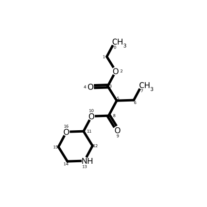 CCOC(=O)C(CC)C(=O)OC1CNCCO1